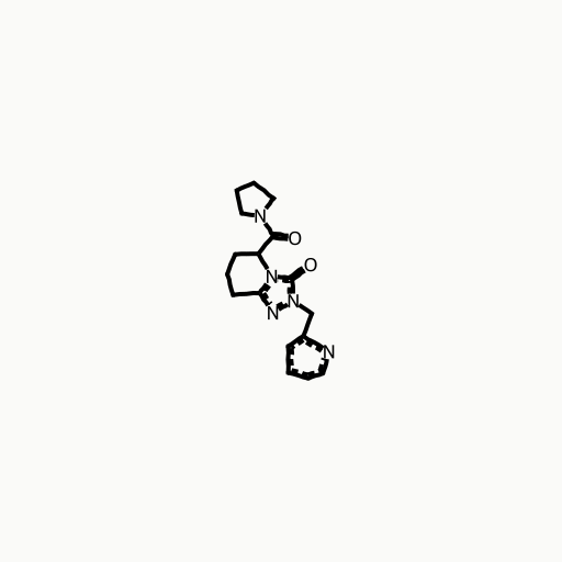 O=C(C1CCCc2nn(Cc3ccccn3)c(=O)n21)N1CCCC1